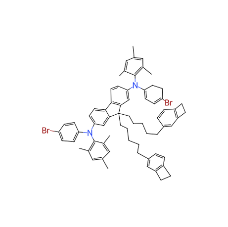 Cc1cc(C)c(N(C2=CC=C(Br)CC2)c2ccc3c(c2)C(CCCCCc2ccc4c(c2)CC4)(CCCCCc2ccc4c(c2)CC4)c2cc(N(c4ccc(Br)cc4)c4c(C)cc(C)cc4C)ccc2-3)c(C)c1